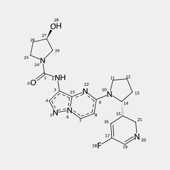 O=C(Nc1cnn2ccc(N3CCC[C@@H]3C3C=C(F)C=NC3)nc12)N1CC[C@@H](O)C1